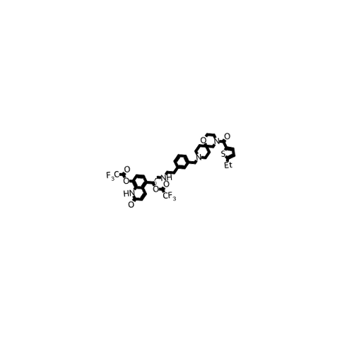 CCc1ccc(C(=O)N2CCOC3(CCN(Cc4cccc(CCNC[C@H](OC(=O)C(F)(F)F)c5ccc(OC(=O)C(F)(F)F)c6[nH]c(=O)ccc56)c4)CC3)C2)s1